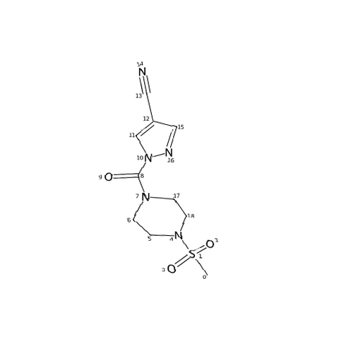 CS(=O)(=O)N1CCN(C(=O)n2cc(C#N)cn2)CC1